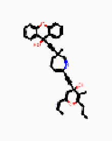 C/C=C\C1=CC(O)(C#CC2=CC=CC(C)(C#CC3(O)c4ccccc4Oc4ccccc43)C=N2)C(C)=C(CCC)O1